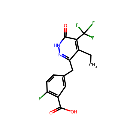 CCc1c(Cc2ccc(F)c(C(=O)O)c2)n[nH]c(=O)c1C(F)(F)F